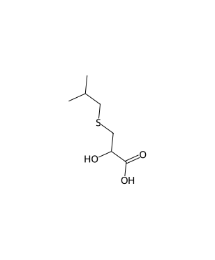 CC(C)CSCC(O)C(=O)O